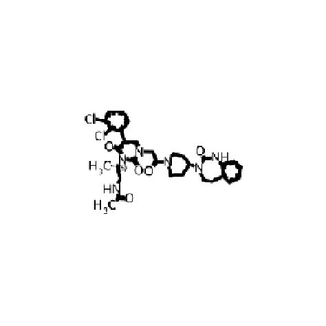 CC(=O)NC[C@H](C)n1c(=O)c(-c2cccc(Cl)c2Cl)cn(CC(=O)N2CCC(N3CCc4ccccc4NC3=O)CC2)c1=O